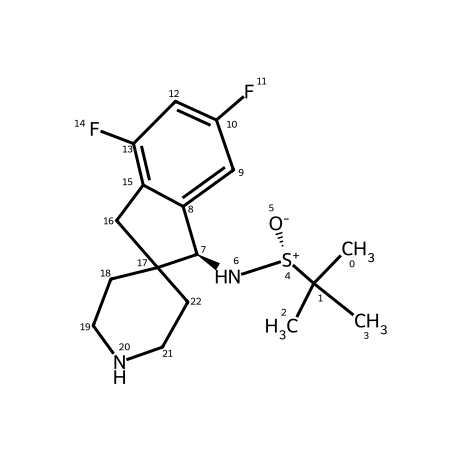 CC(C)(C)[S@@+]([O-])N[C@@H]1c2cc(F)cc(F)c2CC12CCNCC2